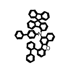 c1ccc(-c2ccc(N(c3cccc4c3-c3ccccc3C43c4ccccc4-c4ccccc43)c3cc4c(oc5cccc(-c6ccccc6-c6ccccc6)c54)c4ccccc34)cc2)cc1